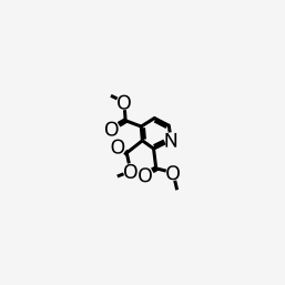 COC(=O)c1ccnc(C(=O)OC)c1C(=O)OC